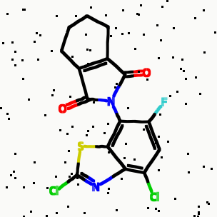 O=C1C2=C(CCCC2)C(=O)N1c1c(F)cc(Cl)c2nc(Cl)sc12